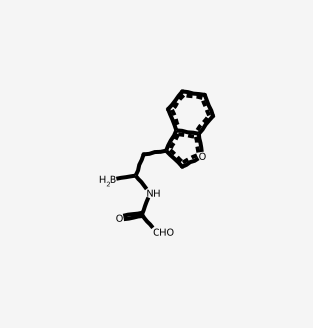 BC(Cc1coc2ccccc12)NC(=O)C=O